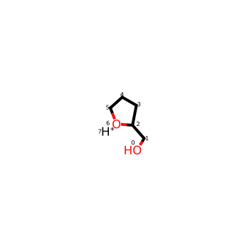 OCC1CCCO1.[H+]